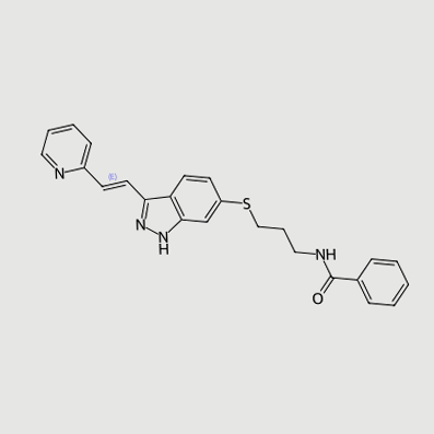 O=C(NCCCSc1ccc2c(/C=C/c3ccccn3)n[nH]c2c1)c1ccccc1